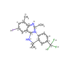 Cc1nc(N[C@H](C)c2cccc(C(F)(F)F)c2)c2cc(I)cc(C)c2n1